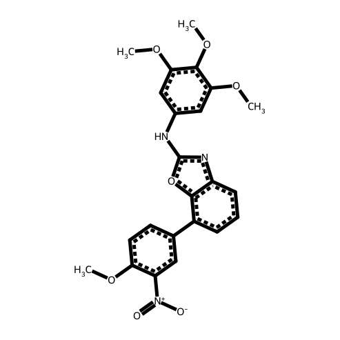 COc1ccc(-c2cccc3nc(Nc4cc(OC)c(OC)c(OC)c4)oc23)cc1[N+](=O)[O-]